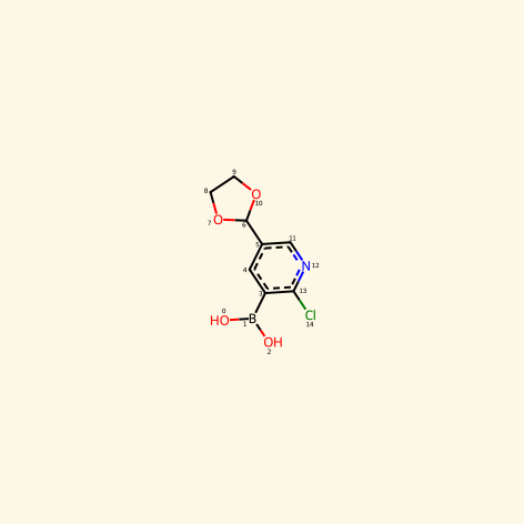 OB(O)c1cc(C2OCCO2)cnc1Cl